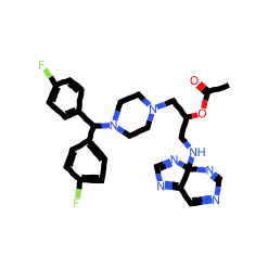 CC(=O)OC(CNC12N=CN=CC1=NC=N2)CN1CCN(C(c2ccc(F)cc2)c2ccc(F)cc2)CC1